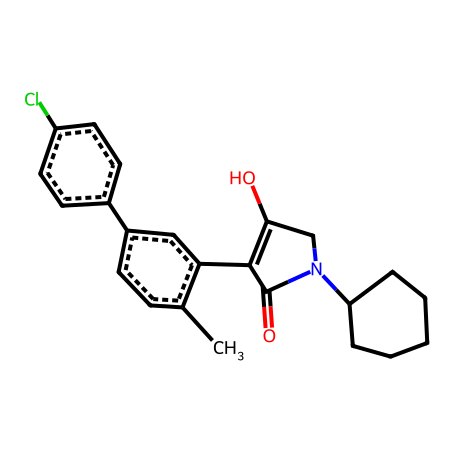 Cc1ccc(-c2ccc(Cl)cc2)cc1C1=C(O)CN(C2CCCCC2)C1=O